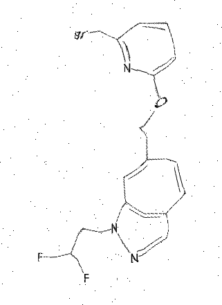 FC(F)Cn1ncc2ccc(COc3cccc(Br)n3)cc21